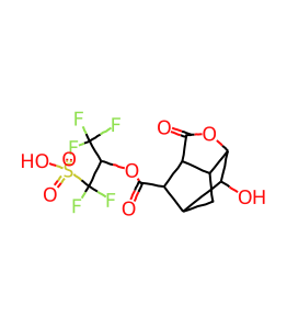 O=C(OC(C(F)(F)F)C(F)(F)S(=O)(=O)O)C1C2CC3C(OC(=O)C31)C2O